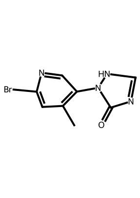 Cc1cc(Br)ncc1-n1[nH]cnc1=O